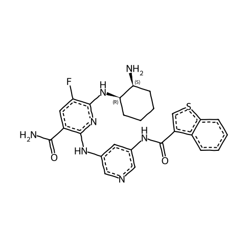 NC(=O)c1cc(F)c(N[C@@H]2CCCC[C@@H]2N)nc1Nc1cncc(NC(=O)c2csc3ccccc23)c1